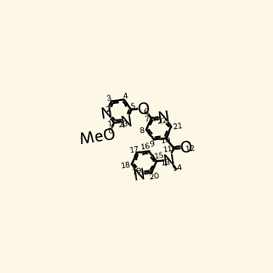 COc1nccc(Oc2ccc(C(=O)N(C)c3cccnc3)cn2)n1